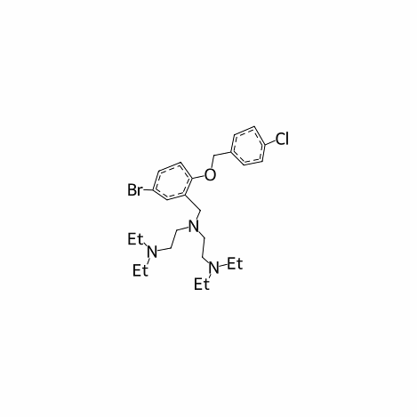 CCN(CC)CCN(CCN(CC)CC)Cc1cc(Br)ccc1OCc1ccc(Cl)cc1